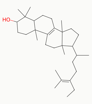 CCC(CCC(C)C1CCC2(C)C3=C(CCC12C)C1(C)CCC(O)C(C)(C)C1CC3)=C(C)C